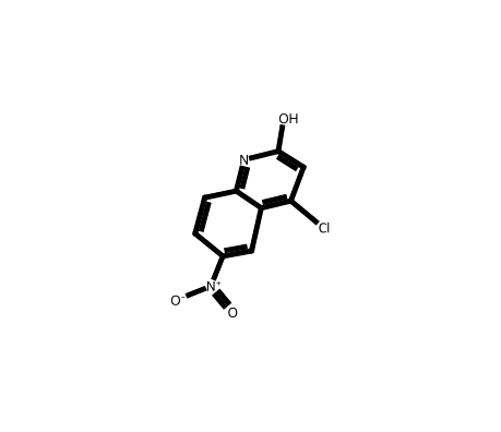 O=[N+]([O-])c1ccc2nc(O)cc(Cl)c2c1